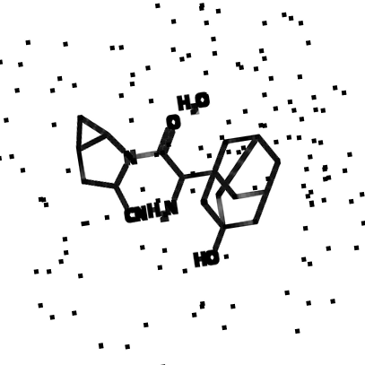 N#CC1CC2CC2N1C(=O)C(N)C12CC3CC(CC(O)(C3)C1)C2.O